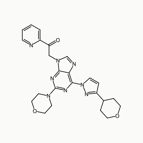 O=C(Cn1cnc2c(-n3ccc(C4CCOCC4)n3)nc(N3CCOCC3)nc21)c1ccccn1